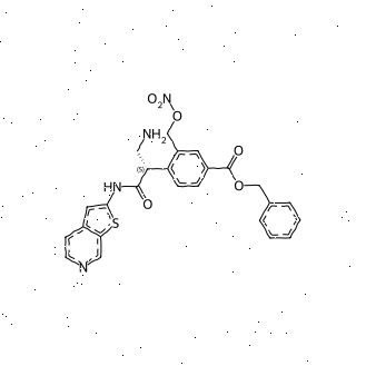 NC[C@@H](C(=O)Nc1cc2ccncc2s1)c1ccc(C(=O)OCc2ccccc2)cc1CO[N+](=O)[O-]